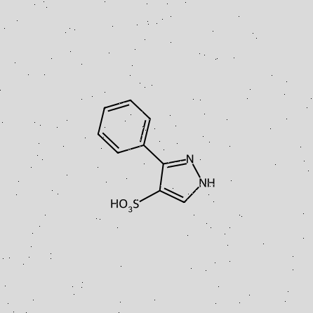 O=S(=O)(O)c1c[nH]nc1-c1ccccc1